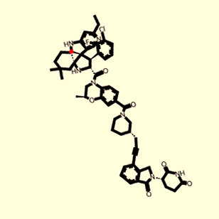 CCc1cc2c(cn1)[C@]1(CN2)[C@@H](c2cccc(Cl)c2F)[C@H](C(=O)N2C[C@H](C)Oc3cc(C(=O)N4CCC[C@@H](CC#Cc5cccc6c5CN([C@H]5CCC(=O)NC5=O)C6=O)C4)ccc32)N[C@]12CCCC(C)(C)C2